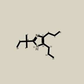 CCCc1nc(C(C)(C)CC)[nH]c1CCC